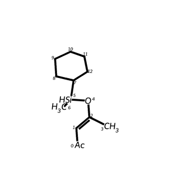 CC(=O)C=C(C)O[SiH](C)C1CCCCC1